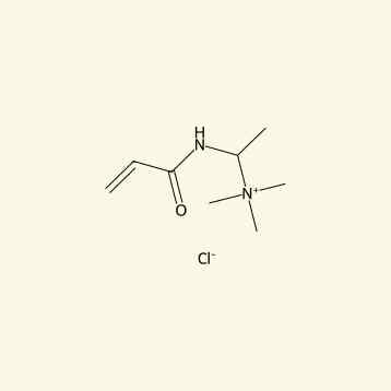 C=CC(=O)NC(C)[N+](C)(C)C.[Cl-]